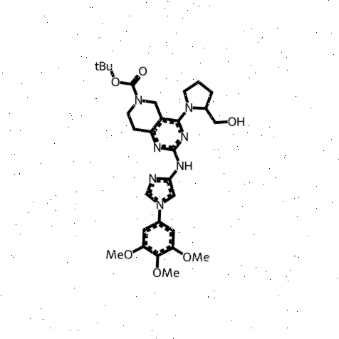 COc1cc(-n2cnc(Nc3nc4c(c(N5CCCC5CO)n3)CN(C(=O)OC(C)(C)C)CC4)c2)cc(OC)c1OC